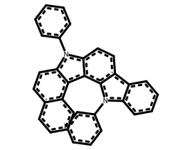 c1ccc(-n2c3ccc4ccccc4c3c3c2ccc2c4ccccc4n(-c4cccnc4)c23)cc1